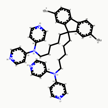 CC(C)(C)c1ccc2c(c1)C(CCCCCN(c1ccncc1)c1ccncc1)(CCCCCN(c1ccncc1)c1ccncc1)c1cc(C(C)(C)C)ccc1-2